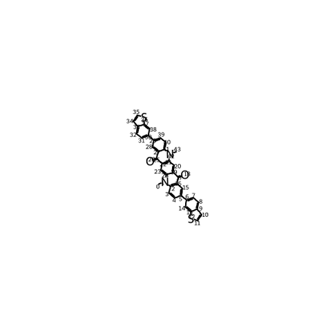 Cn1c2ccc(-c3ccc4ccsc4c3)cc2c(=O)c2cc3c(cc21)c(=O)c1cc(-c2ccc4ccsc4c2)ccc1n3C